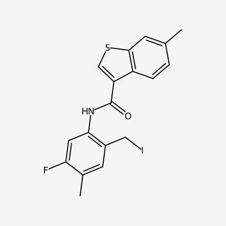 Cc1ccc2c(C(=O)Nc3cc(F)c(C)cc3CI)csc2c1